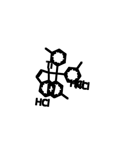 Cc1cccc(C(c2cccc(C)c2)(c2cccc(C)c2)[C]2([Ti])C=Cc3ccccc32)c1.Cl.Cl.Cl